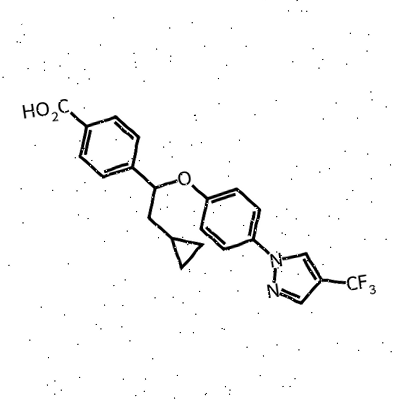 O=C(O)c1ccc(C(CC2CC2)Oc2ccc(-n3cc(C(F)(F)F)cn3)cc2)cc1